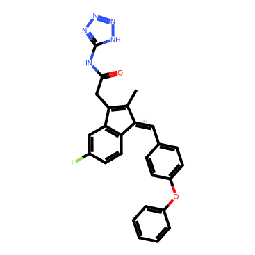 CC1=C(CC(=O)Nc2nnn[nH]2)c2cc(F)ccc2/C1=C\c1ccc(Oc2ccccc2)cc1